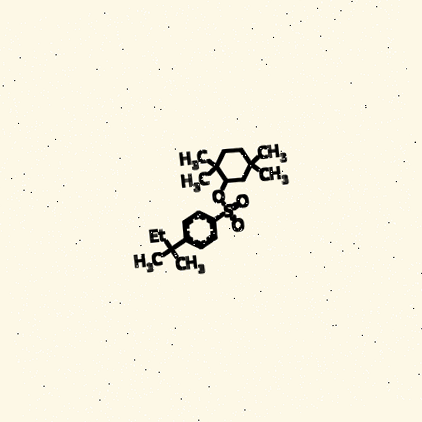 CCC(C)(C)c1ccc(S(=O)(=O)OC2CC(C)(C)CCC2(C)C)cc1